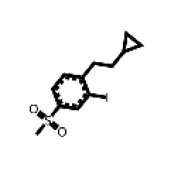 CS(=O)(=O)c1ccc(CCC2CC2)c(I)c1